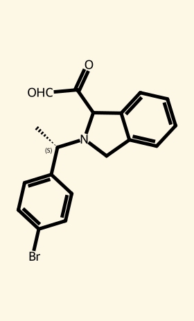 C[C@@H](c1ccc(Br)cc1)N1Cc2ccccc2C1C(=O)C=O